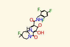 C[C@]1(F)CCN2C[C@H](C1)n1cc(C(=O)NCc3c(F)cc(F)cc3F)c(=O)c(O)c1C2=O